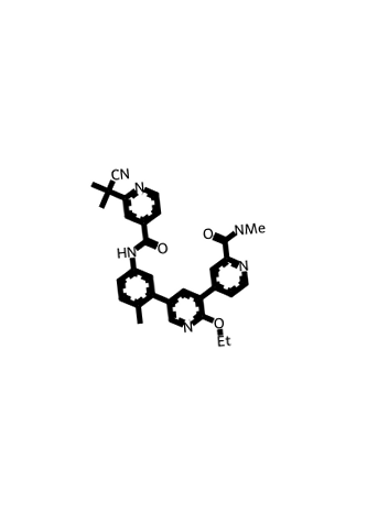 CCOc1ncc(-c2cc(NC(=O)c3ccnc(C(C)(C)C#N)c3)ccc2C)cc1-c1ccnc(C(=O)NC)c1